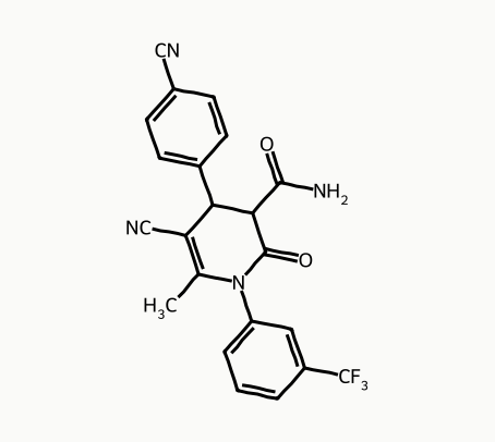 CC1=C(C#N)C(c2ccc(C#N)cc2)C(C(N)=O)C(=O)N1c1cccc(C(F)(F)F)c1